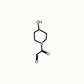 O=CC(=O)N1CCC(O)CC1